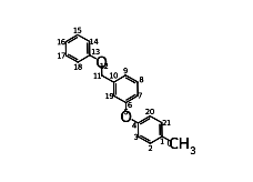 Cc1ccc(Oc2cccc(COc3ccccc3)c2)cc1